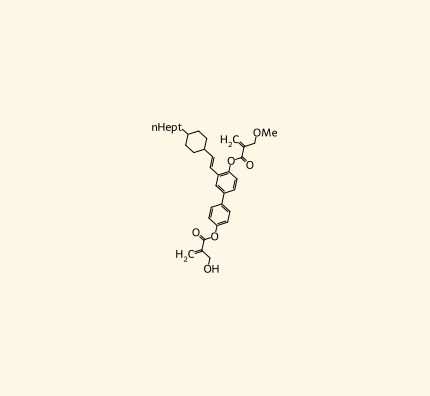 C=C(CO)C(=O)Oc1ccc(-c2ccc(OC(=O)C(=C)COC)c(/C=C/C3CCC(CCCCCCC)CC3)c2)cc1